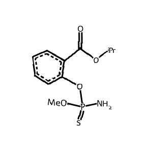 COP(N)(=S)Oc1ccccc1C(=O)OC(C)C